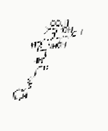 C[C@]1(C(=O)O)CC(O)[C@@H](NC(=O)CNC(=O)CCSSc2ccccn2)[C@H](C(O)[C@H](O)CO)O1